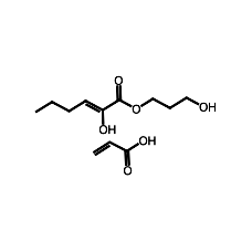 C=CC(=O)O.CCCC=C(O)C(=O)OCCCO